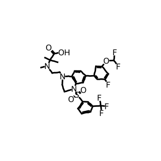 CN(CCN1CCN(S(=O)(=O)c2cccc(C(F)(F)F)c2)c2cc(-c3cc(F)cc(OC(F)F)c3)ccc21)C(C)(C)C(=O)O